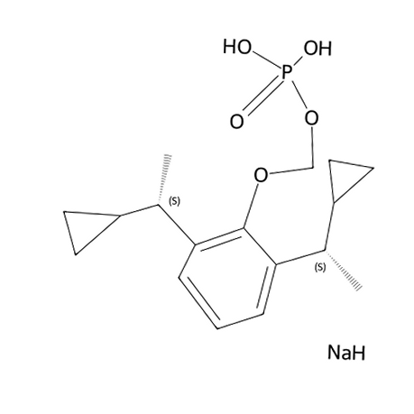 C[C@H](c1cccc([C@@H](C)C2CC2)c1OCOP(=O)(O)O)C1CC1.[NaH]